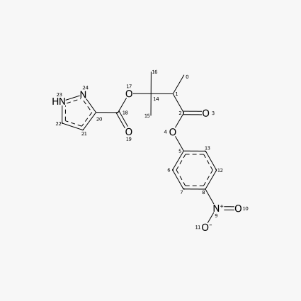 CC(C(=O)Oc1ccc([N+](=O)[O-])cc1)C(C)(C)OC(=O)c1cc[nH]n1